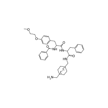 COCCOc1ccc(CC(NC(=O)c2ccccc2)C(=O)NC(Cc2ccccc2)C(=O)NCC23CCC(CN)(CC2)CC3)cc1